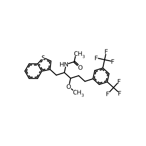 COC(CCc1cc(C(F)(F)F)cc(C(F)(F)F)c1)C(Cc1csc2ccccc12)NC(C)=O